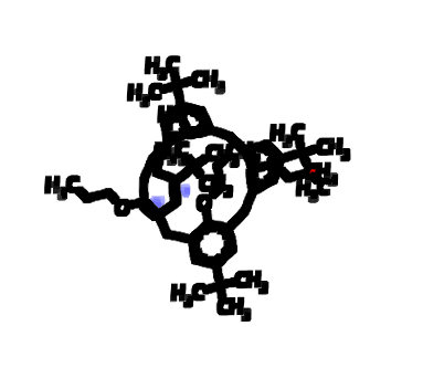 CCCO/C1=C(/C=C(\CC)C(C)(C)C)Cc2cc(C(C)(C)C)cc(c2OCCC)Cc2cc(C(C)(C)C)cc(c2OCCC)Cc2cc(C(C)(C)C)cc(c2O)CC1